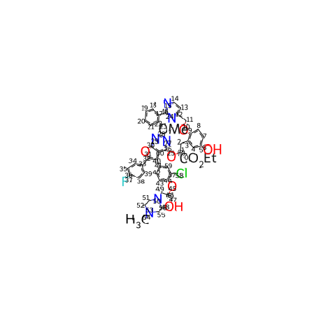 CCOC(=O)[C@@H](Cc1cc(O)ccc1OCc1ccnc(-c2ccccc2OC)n1)Oc1ncnc2oc(-c3ccc(F)cc3)c(-c3ccc(O[C@H](CO)CN4CCN(C)CC4)c(Cl)c3)c12